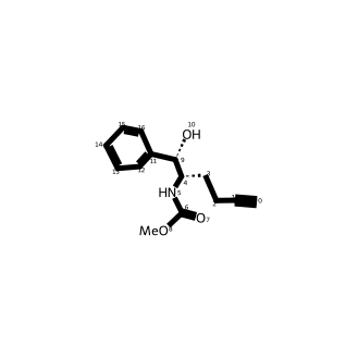 C#CCC[C@H](NC(=O)OC)[C@@H](O)c1ccccc1